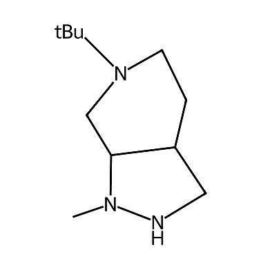 CN1NCC2CCN(C(C)(C)C)CC21